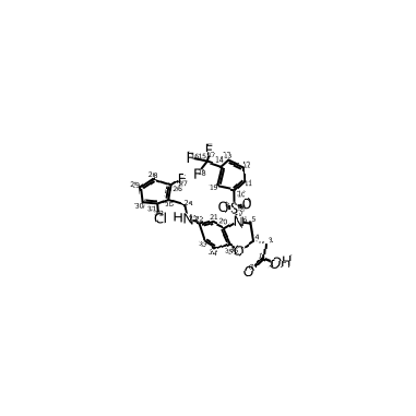 O=C(O)C[C@H]1CN(S(=O)(=O)c2cccc(C(F)(F)F)c2)c2cc(NCc3c(F)cccc3Cl)ccc2O1